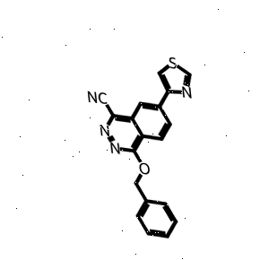 N#Cc1nnc(OCc2ccccc2)c2ccc(-c3cscn3)cc12